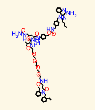 C=Cc1ccccc1CN(C(=O)CCC(=O)NCCOCCOCCOCCOCCC(=O)N[C@H](C(=O)N[C@@H](CCCNC(N)=O)C(=O)Nc1ccc(COC(=O)NCc2ccc(Cn3c(CCCC)nc4c(N)nc5ccccc5c43)cc2)cc1)C(C)C)c1ccccc1CC